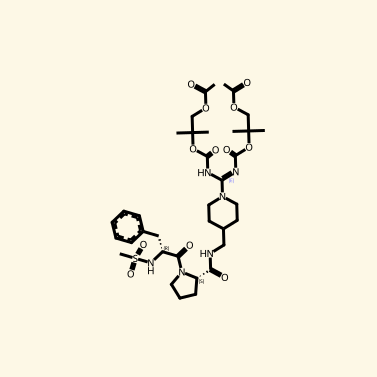 CC(=O)OCC(C)(C)OC(=O)/N=C(\NC(=O)OC(C)(C)COC(C)=O)N1CCC(CNC(=O)[C@@H]2CCCN2C(=O)[C@@H](Cc2ccccc2)NS(C)(=O)=O)CC1